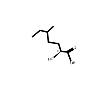 CCC(C)CC[C@H](O)C(=O)O